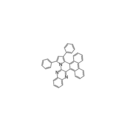 c1ccc(-c2cc(-c3ccccc3)n3c4nc5ccccc5nc4c4c5ccccc5c5ccccc5c4c23)cc1